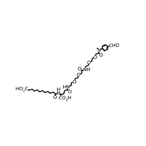 CN(C(=O)COCCOCCNC(=O)COCCOCCNC(=O)CC[C@H](NC(=O)CCCCCCCCCCC(=O)O)C(=O)O)c1ccc(C=O)cc1